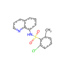 Cc1cccc(Cl)c1S(=O)(=O)Nc1cccc2cccnc12